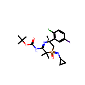 CC(C)(C)OC(=O)NC1=N[C@](C)(c2cc(I)ccc2F)CS(=O)(=NC2CC2)C1(C)C